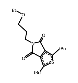 CCOCCCN1C(=O)c2c(C(C)(C)C)sc(C(C)(C)C)c2C1=O